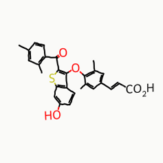 Cc1ccc(C(=O)c2sc3cc(O)ccc3c2Oc2c(C)cc(/C=C/C(=O)O)cc2C)c(C)c1